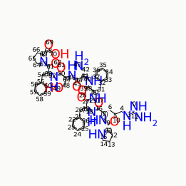 N=C(N)NCCC[C@H](NC(=O)[C@@H]1CCCN1)C(=O)N[C@@H](Cc1ccccc1)C(=O)N[C@@H](Cc1ccccc1)C(=O)N[C@@H](CN)C(=O)N[C@@H](CO)C(=O)N[C@@H](Cc1ccccc1)C(=O)N1CCC[C@@H]1C(=O)O